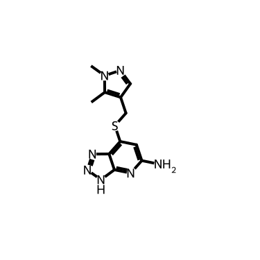 Cc1c(CSc2cc(N)nc3[nH]nnc23)cnn1C